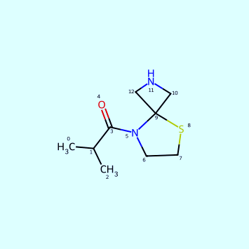 CC(C)C(=O)N1CCSC12CNC2